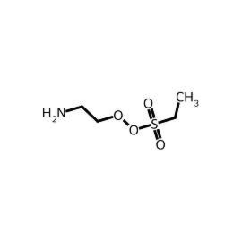 CCS(=O)(=O)OOCCN